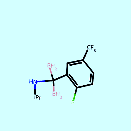 BC(B)(NC(C)C)c1cc(C(F)(F)F)ccc1F